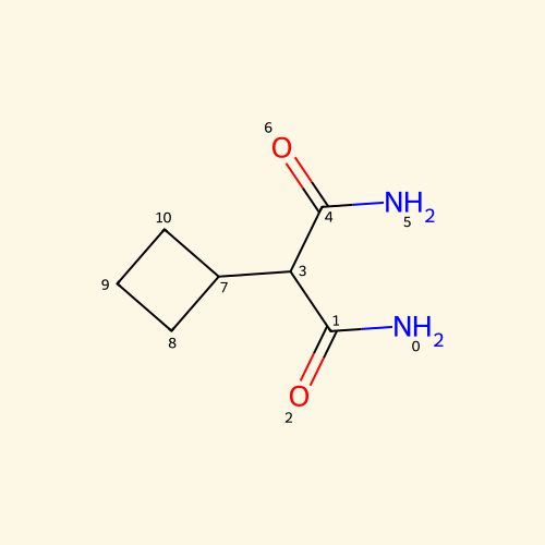 NC(=O)C(C(N)=O)C1CCC1